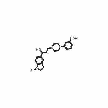 COc1cccc(N2CCN(CCC(O)c3ccc4c(c3)CCN4C(C)=O)CC2)c1